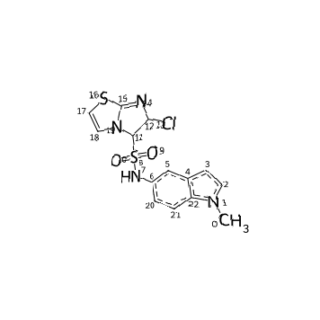 Cn1ccc2cc(NS(=O)(=O)C3C(Cl)N=C4SC=CN43)ccc21